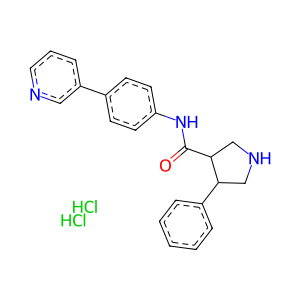 Cl.Cl.O=C(Nc1ccc(-c2cccnc2)cc1)C1CNCC1c1ccccc1